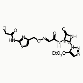 CCOC(=O)c1cnnn1[C@@H]1NC(=O)[C@@H]1NC(=O)C=NOCc1csc(NC(=O)CCl)n1